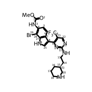 COC(=O)Nc1ccc2c(-c3nc(NCC[C@@H]4CCCNC4)ncc3C(F)(F)F)c[nH]c2c1Br